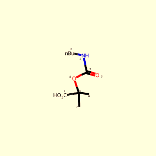 CCCCNC(=O)OC(C)(C)C(=O)O